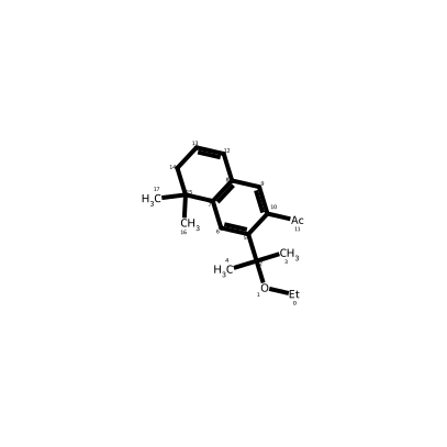 CCOC(C)(C)c1cc2c(cc1C(C)=O)C=CCC2(C)C